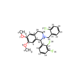 COc1cc2c(cc1OC)C(c1cccc(F)c1F)N(Cc1ccccc1F)CC2